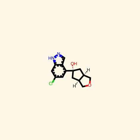 O[C@]1(c2cc(Cl)cc3[nH]ncc23)C[C@H]2COC[C@H]2C1